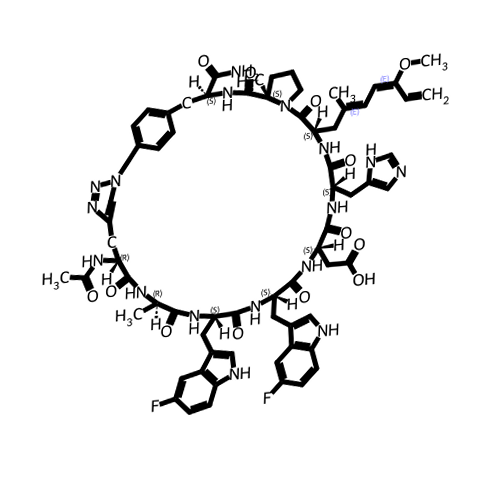 C=C/C(=C\C=C(/C)C[C@@H]1NC(=O)[C@H](Cc2cnc[nH]2)NC(=O)[C@H](CC(=O)O)NC(=O)[C@H](Cc2c[nH]c3ccc(F)cc23)NC(=O)[C@H](Cc2c[nH]c3ccc(F)cc23)NC(=O)[C@@H](C)NC(=O)[C@H](NC(C)=O)Cc2cn(nn2)-c2ccc(cc2)C[C@@H](C(N)=O)NC(=O)[C@]2(C)CCCN2C1=O)OC